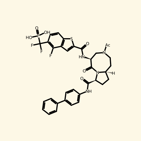 CC(=O)N1CC[C@H]2CC[C@@H](C(=O)Nc3ccc(-c4ccccc4)cc3)N2C(=O)[C@@H](NC(=O)c2cc3c(F)c(C(F)(F)P(=O)(O)O)ccc3s2)C1